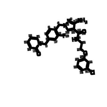 Nc1nn(Cc2ccc(Cn3ccccc3=O)cc2F)cc1C(=O)NCCOc1cccc(Cl)c1